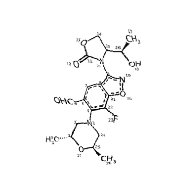 C[C@@H]1CN(c2c(C=O)cc3c(N4C(=O)OCC4[C@@H](C)O)noc3c2F)C[C@@H](C)O1